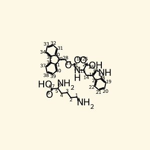 NCCCCC(N)C(=O)O.O=C(NC(Cc1c[nH]c2ccccc12)C(=O)O)OCC1c2ccccc2-c2ccccc21